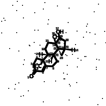 C[C@]12CCC(=O)C=C1CC[C@@H]1[C@@H]2CC[C@]2(C)[C@@H](O)C[C@@H]3C[C@]312